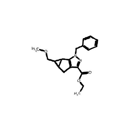 CCOC(=O)c1nn(Cc2ccccc2)c2c1CC1C(COC)C21